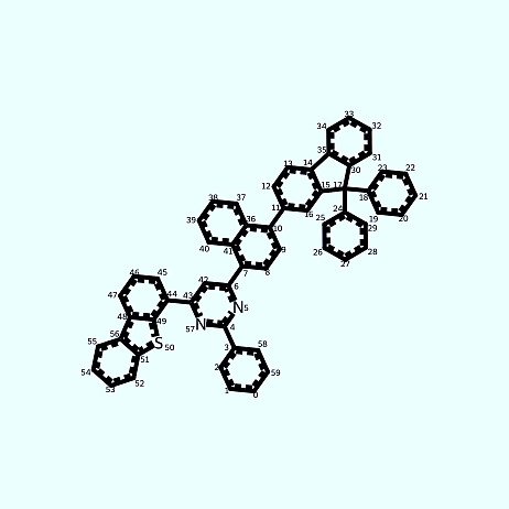 c1ccc(-c2nc(-c3ccc(-c4ccc5c(c4)C(c4ccccc4)(c4ccccc4)c4ccccc4-5)c4ccccc34)cc(-c3cccc4c3sc3ccccc34)n2)cc1